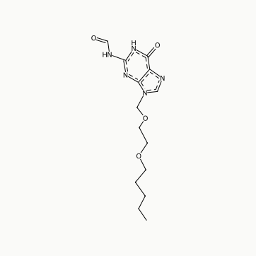 CCCCCOCCOCn1cnc2c(=O)[nH]c(NC=O)nc21